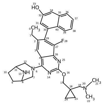 CCc1cc2c(N3CC4CCC(C3)N4)nc(OCC3(CN(C)C)CC3)nc2c(F)c1-c1cc(O)cc2ccccc12